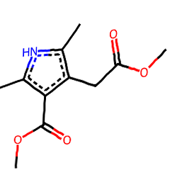 COC(=O)Cc1c(C)[nH]c(C)c1C(=O)OC